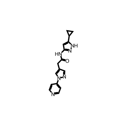 O=C(Cc1cnn(-c2ccncc2)c1)Nc1cc(C2CC2)[nH]n1